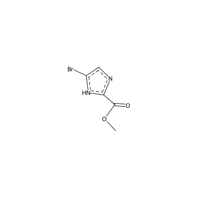 COC(=O)c1ncc(Br)[nH]1